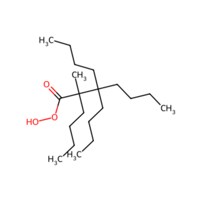 CCCCC(CCCC)(CCCC)C(C)(CCCC)C(=O)OO